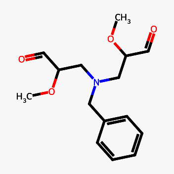 COC(C=O)CN(Cc1ccccc1)CC(C=O)OC